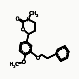 COc1ccc(C2CCN(C)C(=O)O2)cc1OCCc1ccccc1